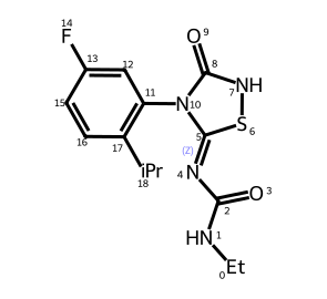 CCNC(=O)/N=c1\s[nH]c(=O)n1-c1cc(F)ccc1C(C)C